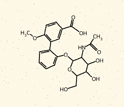 COc1ccc(C(=O)O)cc1-c1ccccc1OC1OC(CO)C(O)C(O)C1NC(C)=O